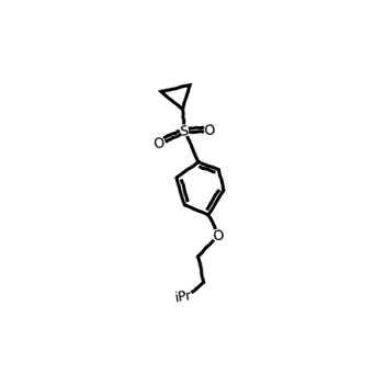 CC(C)CCOc1ccc(S(=O)(=O)C2CC2)cc1